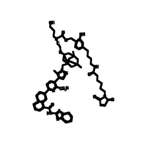 Cc1c(-c2ccc(-c3ccc4cccc(C(=O)Nc5nc6ccccc6s5)c4c3)nc2C(=O)O)cnn1CC12CC3(C)CC(C)(C1)CC(OCCN(CCCO)C(=O)OCc1ccc(CCCCNC(=O)CCCCCN4C(=O)C=CC4=O)cc1O)(C3)C2